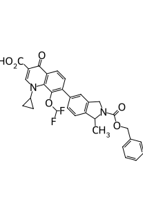 CC1c2ccc(-c3ccc4c(=O)c(C(=O)O)cn(C5CC5)c4c3OC(F)F)cc2CN1C(=O)OCc1ccccc1